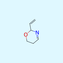 C=CC1N=CCCO1